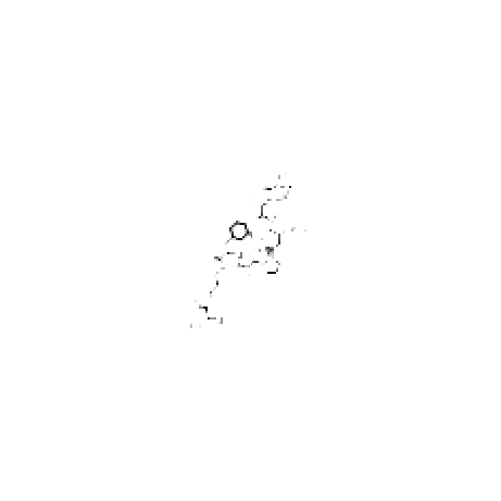 CC[C@H](C)[C@@H]([C@@H](CC(=O)N1CCC[C@H]1[C@H](OC)[C@@H](C)C(=O)N[C@@H](Cc1ccccc1)C(=O)NCCCOC(=O)[C@@H](N)C(C)C)OC)N(C)C(=O)[C@@H](NC(=O)[C@H](C(C)C)N(C)C)C(C)C